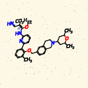 CCO/C(Nc1cccc(-c2cccc(C)c2OCc2ccc3c(c2)CCN(C2CC(C)OC(C)C2)C3)n1)=C(/C=N)C(=O)O